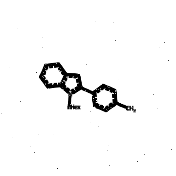 CCCCCCn1c(-c2ccc(C)cc2)cc2ccccc21